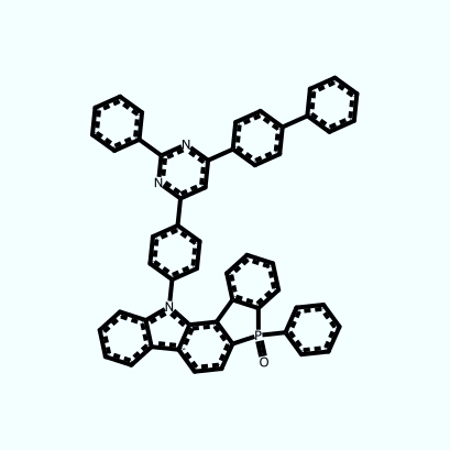 O=P1(c2ccccc2)c2ccccc2-c2c1ccc1c3ccccc3n(-c3ccc(-c4cc(-c5ccc(-c6ccccc6)cc5)nc(-c5ccccc5)n4)cc3)c21